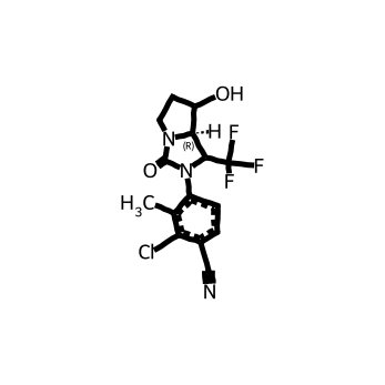 Cc1c(N2C(=O)N3CCC(O)[C@H]3C2C(F)(F)F)ccc(C#N)c1Cl